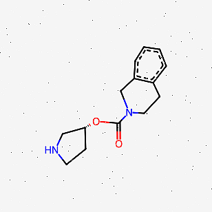 O=C(O[C@@H]1CCNC1)N1CCc2ccccc2C1